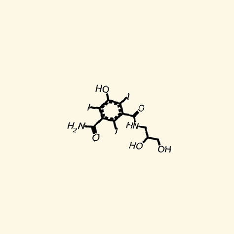 NC(=O)c1c(I)c(O)c(I)c(C(=O)NCC(O)CO)c1I